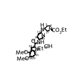 CCOC(=O)N1CC[C@H](Nc2ccc(NC(=O)c3cc4c(OC)c(OC)ccc4n3CC)cn2)C1.Cl